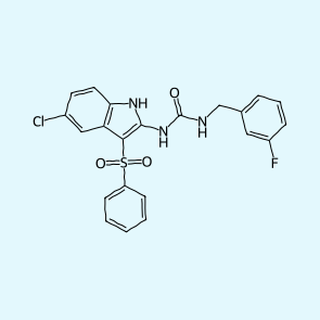 O=C(NCc1cccc(F)c1)Nc1[nH]c2ccc(Cl)cc2c1S(=O)(=O)c1ccccc1